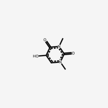 Cn1cc(O)c(=O)n(C)c1=O